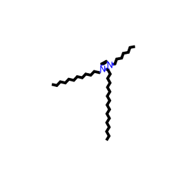 CCCCCCCCCCCCCCCCC1N(CCCCCCC)C=CN1CCCCCCCCCCCC